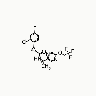 C[C@@H](NC(=O)C1CC1c1ccc(F)cc1Cl)c1cnc(OCC(F)(F)F)cn1